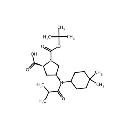 CC(C)C(=O)N(C1CCC(C)(C)CC1)[C@H]1C[C@@H](C(=O)O)N(C(=O)OC(C)(C)C)C1